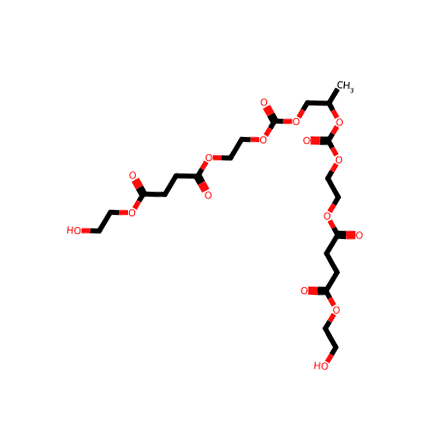 CC(COC(=O)OCCOC(=O)CCC(=O)OCCO)OC(=O)OCCOC(=O)CCC(=O)OCCO